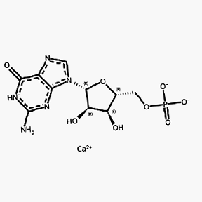 Nc1nc2c(ncn2[C@@H]2O[C@H](COP(=O)([O-])[O-])[C@@H](O)[C@H]2O)c(=O)[nH]1.[Ca+2]